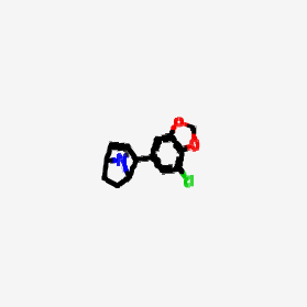 CN1C2C=CC(c3cc(Cl)c4c(c3)OCO4)C1CC2